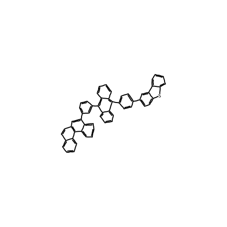 c1cc(-c2c3ccccc3c(-c3ccc(-c4ccc5sc6ccccc6c5c4)cc3)c3ccccc23)cc(-c2cc3ccc4ccccc4c3c3ccccc23)c1